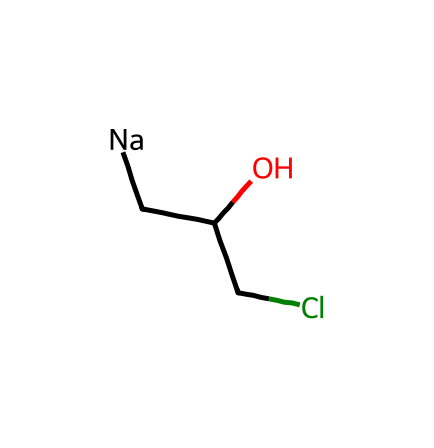 OC([CH2][Na])CCl